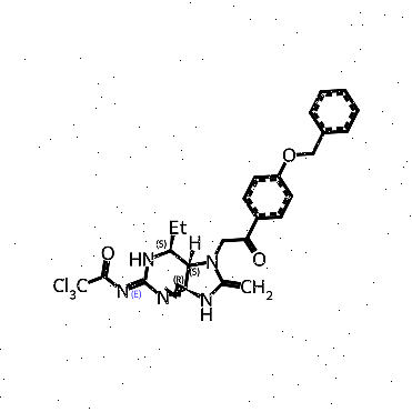 C=C1N[C@]23C=CCN2/C(=N/C(=O)C(Cl)(Cl)Cl)N[C@@H](CC)[C@@H]3N1CC(=O)c1ccc(OCc2ccccc2)cc1